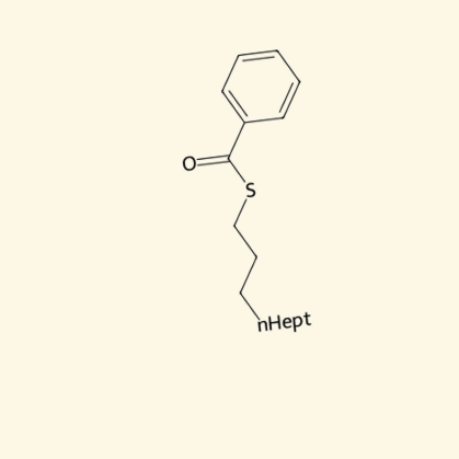 CCCCCCCCCCSC(=O)c1ccccc1